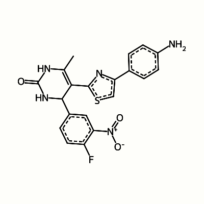 CC1=C(c2nc(-c3ccc(N)cc3)cs2)C(c2ccc(F)c([N+](=O)[O-])c2)NC(=O)N1